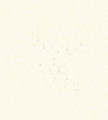 Cc1cc(C)c2c(ccn2C(=O)OC(C)(C)C)c1C[C@@H]1CCN(CC(C)(C)O)C[C@H]1c1ccc(C(=O)OC(C)(C)C)cc1